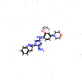 COc1cc(N2CCOCC2)ccc1Nc1nc(N)n(-c2nc3ccccc3s2)n1